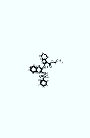 CCOC(=O)c1c(Nc2nc3ccccc3nc2NS(=O)(=O)c2ccccc2)sc2c1CCCC2